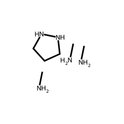 C1CNNC1.CN.CN.CN